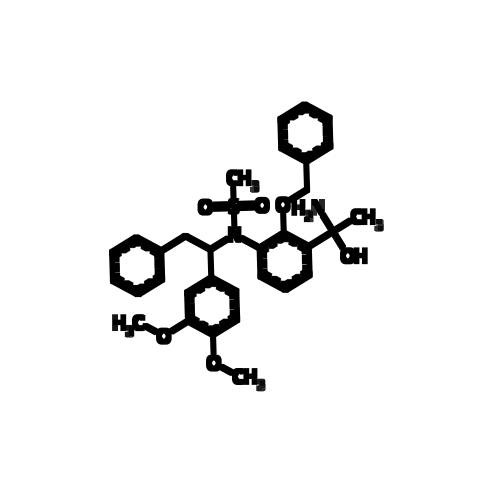 COc1ccc(C(Cc2ccccc2)N(c2cccc(C(C)(N)O)c2OCc2ccccc2)S(C)(=O)=O)cc1OC